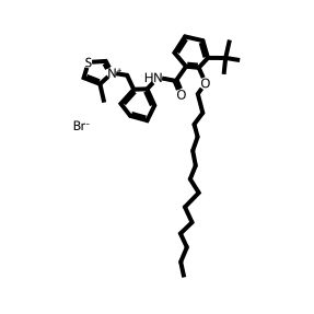 CCCCCCCCCCCCCCOc1c(C(=O)Nc2ccccc2C[n+]2cscc2C)cccc1C(C)(C)C.[Br-]